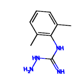 Cc1cccc(C)c1NC(=N)NN